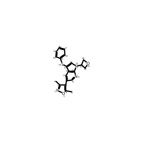 Cc1noc(C)c1-c1cnc2c(c1)c(Sc1ccccc1)cn2C1COC1